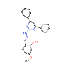 CCCOc1ccc(C=NNc2nc(-c3ccccc3)cc(-c3ccccc3)n2)c(O)c1